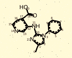 Cc1cn(-c2ccccc2)c(Nc2cnccc2C(=O)O)n1